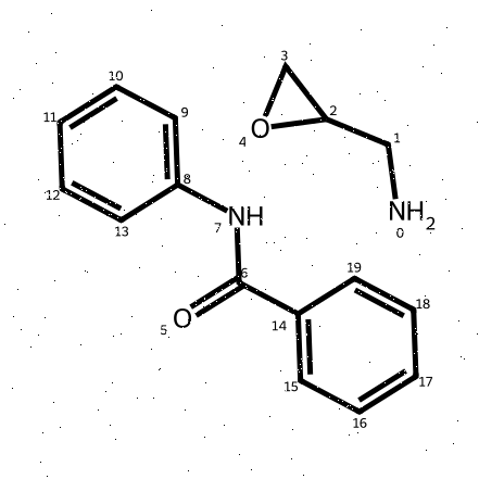 NCC1CO1.O=C(Nc1ccccc1)c1ccccc1